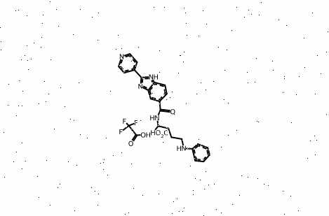 O=C(NC(CCCNc1ccccc1)C(=O)O)c1ccc2[nH]c(-c3ccncc3)nc2c1.O=C(O)C(F)(F)F